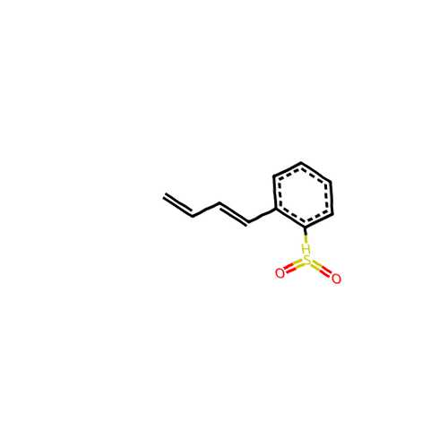 C=CC=Cc1ccccc1[SH](=O)=O